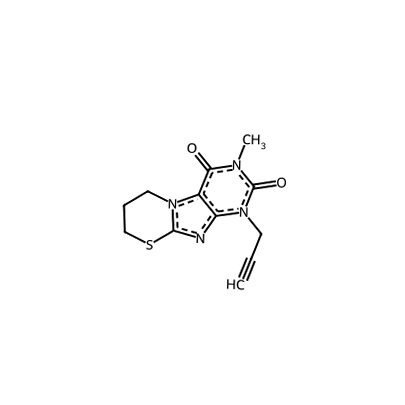 C#CCn1c(=O)n(C)c(=O)c2c1nc1n2CCCS1